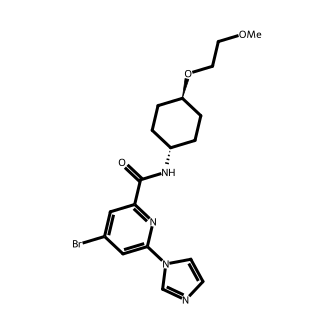 COCCO[C@H]1CC[C@H](NC(=O)c2cc(Br)cc(-n3ccnc3)n2)CC1